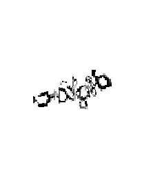 C=Cc1ccccc1S(=O)(=O)N1CCN(CC2(NC(=O)OC)CCN(c3ccncc3)CC2)C(=O)C1